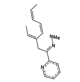 C\C=C/C=C\C(=C/C)C/C(=N\NC)c1ccccn1